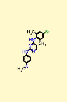 C=Nc1ccc(Nc2nccc(Nc3c(C)cc(Br)cc3C)n2)cc1